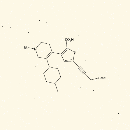 CCN1CCC(c2cc(C#CCOC)sc2C(=O)O)=C(C2CCC(C)CC2)C1